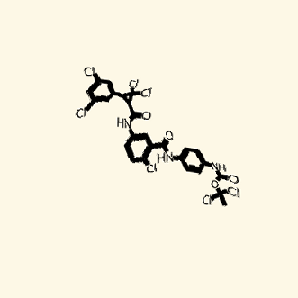 CC(Cl)(Cl)OC(=O)Nc1ccc(NC(=O)c2cc(NC(=O)C3C(c4cc(Cl)cc(Cl)c4)C3(Cl)Cl)ccc2Cl)cc1